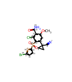 COc1cc(C2(C#N)CC2)c(S(=O)(=O)c2ccc(Br)s2)c(Cl)c1C(N)=O